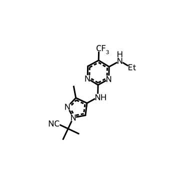 CCNc1nc(Nc2cn(C(C)(C)C#N)nc2C)ncc1C(F)(F)F